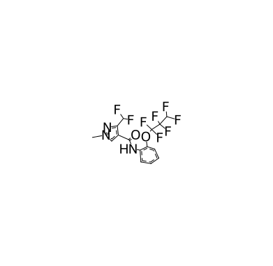 Cn1cc(C(=O)Nc2ccccc2OC(F)(F)C(F)(F)C(F)F)c(C(F)F)n1